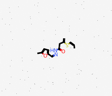 C=C(CC(=O)N/N=C\c1ccc(C)o1)S/C=C\C